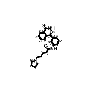 O=C(CCCCN1CCCC1)Nc1cccc(-c2n[nH]c(=O)c3ccccc23)c1